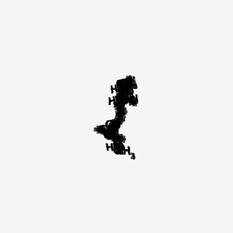 CS(=O)(=O)NCCCC[C@@H](NC1CCCCC1)C(=O)N1CCN(C(=O)Oc2ccc(-c3ccc(CN4CCC5(CCC(N[C@H](CCCCNS(C)(=O)=O)C(=O)N6CCN(C(=O)Oc7ccc8ccccc8c7Cl)C[C@H]6C(=O)NCc6cccs6)CC5)C4)cc3)cc2Cl)C[C@H]1C(=O)NCc1cccs1